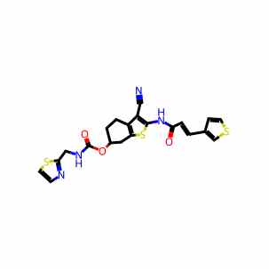 N#Cc1c(NC(=O)C=Cc2ccsc2)sc2c1CCC(OC(=O)NCc1nccs1)C2